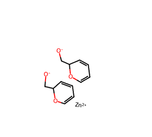 [O-]CC1C=CC=CO1.[O-]CC1C=CC=CO1.[Zn+2]